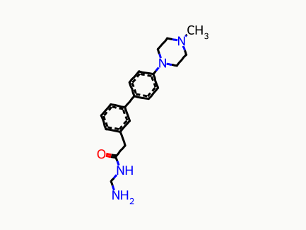 CN1CCN(c2ccc(-c3cccc(CC(=O)NCN)c3)cc2)CC1